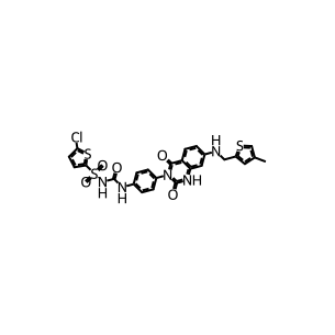 Cc1csc(CNc2ccc3c(=O)n(-c4ccc(NC(=O)NS(=O)(=O)c5ccc(Cl)s5)cc4)c(=O)[nH]c3c2)c1